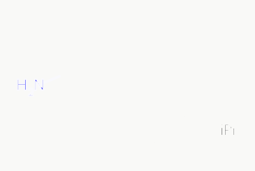 CC(C)c1ccc2c(c1)CCC2N